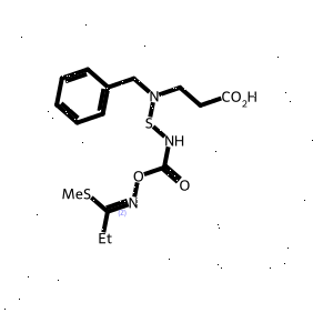 CC/C(=N/OC(=O)NSN(CCC(=O)O)Cc1ccccc1)SC